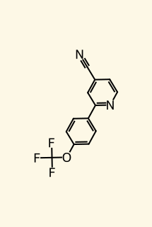 N#Cc1ccnc(-c2ccc(OC(F)(F)F)cc2)c1